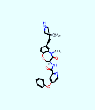 COC1(C#Cc2ccc3c(c2)N(C)C(=O)[C@@H](NC(=O)c2cc(Oc4ccccc4)ccn2)CO3)CNC1